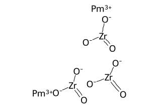 [O]=[Zr]([O-])[O-].[O]=[Zr]([O-])[O-].[O]=[Zr]([O-])[O-].[Pm+3].[Pm+3]